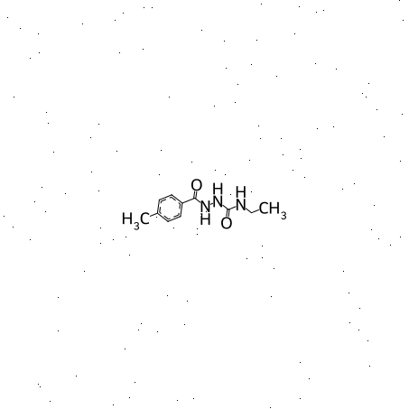 CCNC(=O)NNC(=O)c1ccc(C)cc1